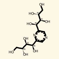 OC[C@@H](O)[C@@H](O)[C@H](O)c1cncc([C@@H](O)[C@H](O)[C@H](O)CO)n1